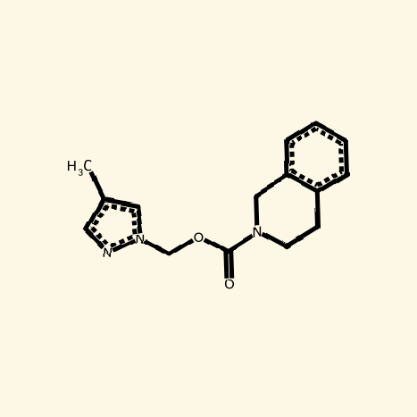 Cc1cnn(COC(=O)N2CCc3ccccc3C2)c1